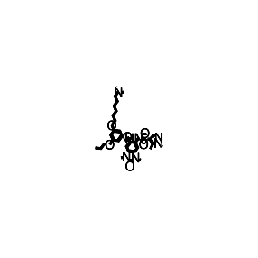 CCCOc1cc(OCCCCCCN(C)C)cc(Oc2cc3c(cc2NS(=O)(=O)c2cnn(C)c2C)n(C)c(=O)n3C)c1